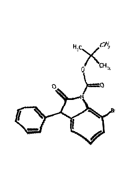 CC(C)(C)OC(=O)N1C(=O)C(c2ccccc2)c2cccc(Br)c21